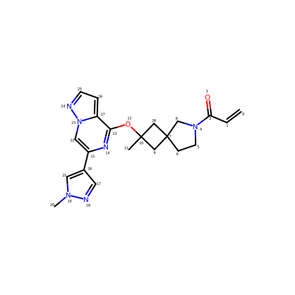 C=CC(=O)N1CCC2(C1)CC(C)(Oc1nc(-c3cnn(C)c3)cn3nccc13)C2